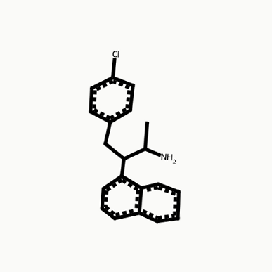 CC(N)C(Cc1ccc(Cl)cc1)c1cccc2ccccc12